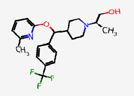 Cc1cccc(OC(c2ccc(C(F)(F)F)cc2)C2CCN([C@H](C)CO)CC2)n1